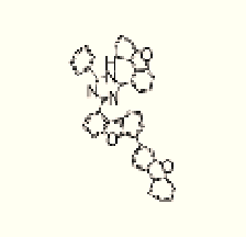 c1ccc(C2=NC(c3cccc4oc5c(-c6ccc7c(c6)oc6ccccc67)cccc5c34)=NC(c3cccc4oc5ccccc5c34)N2)cc1